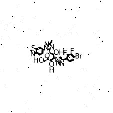 Cc1nc([C@@H]2O[C@H](CO)[C@H](O)[C@H](n3cc(-c4ccc(Br)c(F)c4F)nn3)[C@H]2O)n(-c2ccc3ncsc3c2)n1